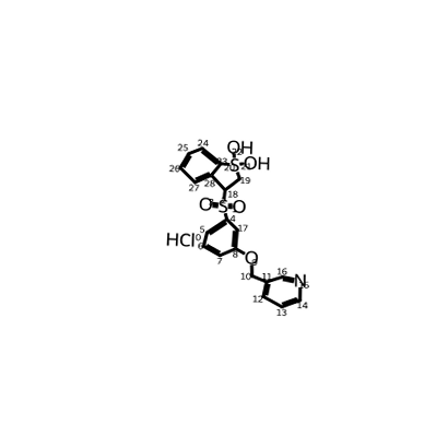 Cl.O=S(=O)(c1cccc(OCc2cccnc2)c1)C1CS(O)(O)c2ccccc21